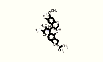 C=C(C)/C(C)=C1\c2ccc3c(c2O[C@@H]2COc4cc(OC)c(OC)cc4[C@H]12)C[C@H](C(=C)C)O3